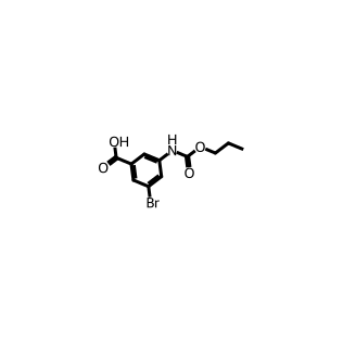 CCCOC(=O)Nc1cc(Br)cc(C(=O)O)c1